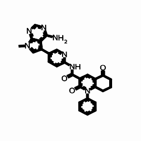 Cn1cc(-c2ccc(NC(=O)c3cc4c(n(-c5ccccc5)c3=O)CCCC4=O)nc2)c2c(N)ncnc21